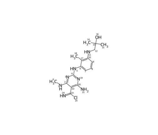 CNc1nc(Nc2cccc(NCC(C)(C)O)c2C)nc(N)c1C(=N)Cl